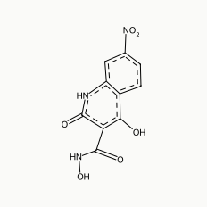 O=C(NO)c1c(O)c2ccc([N+](=O)[O-])cc2[nH]c1=O